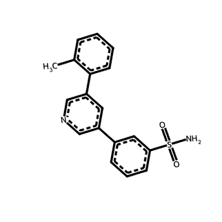 Cc1ccccc1-c1cncc(-c2cccc(S(N)(=O)=O)c2)c1